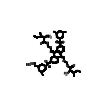 CCC(C)C(N)C(=O)OCON=C1c2ccc(S(=O)(=O)N3C[C@H](C)C[C@H](C)C3)cc2C(=NOCOC(=O)C(N)C(C)CC)c2cc(S(=O)(=O)N3C[C@H](C)C[C@H](C)C3)ccc21.Cl.Cl